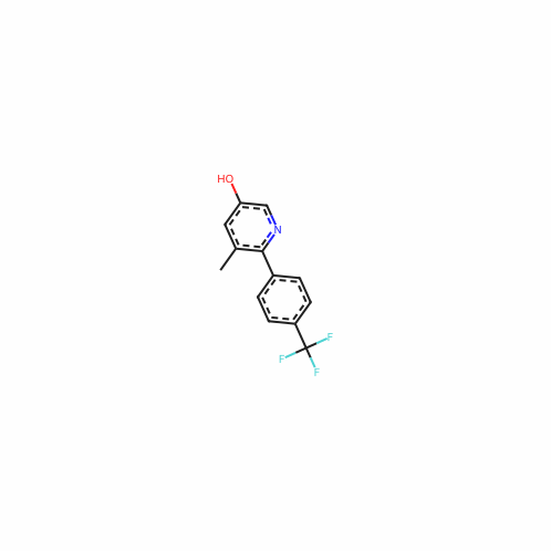 Cc1cc(O)cnc1-c1ccc(C(F)(F)F)cc1